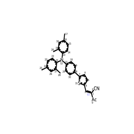 CC(=O)/C(C#N)=C/c1ccc(-c2ccc(N(c3ccc(C)cc3C)c3ccc(C)cc3C)cc2)s1